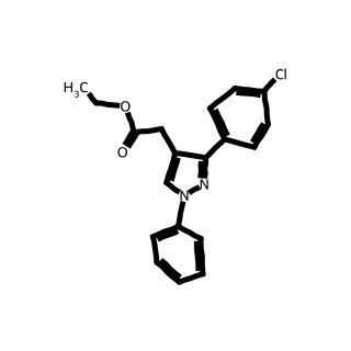 CCOC(=O)Cc1cn(-c2ccccc2)nc1-c1ccc(Cl)cc1